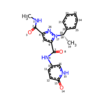 CNC(=O)c1cc(C(=O)Nc2ccc(=O)[nH]c2)n([C@@H](C)c2ccccc2)n1